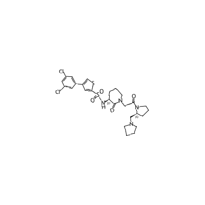 O=C1[C@@H](NS(=O)(=O)c2cc(-c3cc(Cl)cc(Cl)c3)cs2)CCCN1CC(=O)N1CCC[C@H]1CN1CCCC1